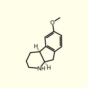 COc1ccc2c(c1)[C@@H]1CCCN[C@@H]1C2